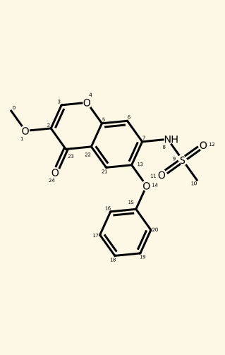 COc1coc2cc(NS(C)(=O)=O)c(Oc3ccccc3)cc2c1=O